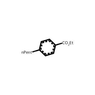 CCCCCc1ccc(C(=O)OCC)cc1